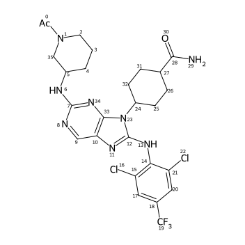 CC(=O)N1CCCC(Nc2ncc3nc(Nc4c(Cl)cc(C(F)(F)F)cc4Cl)n(C4CCC(C(N)=O)CC4)c3n2)C1